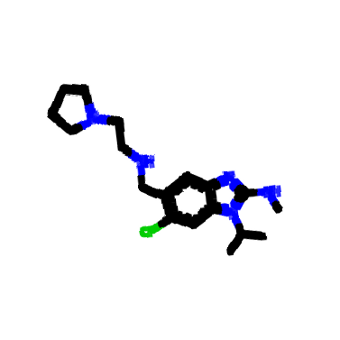 CNc1nc2cc(CNCCN3CCCC3)c(Cl)cc2n1C(C)C